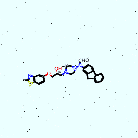 Cc1nc2cc(OC[C@H](O)CN3CCN(N(C=O)c4ccc5c(c4)Cc4ccccc4-5)C[C@@H]3C)ccc2s1